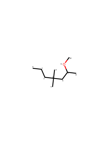 CCCC(C)(C)CC(C)OC